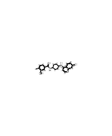 Cc1ccc(C(=O)NC2CCC(Nc3ccnc4cc(Cl)ccc34)CC2)cc1O